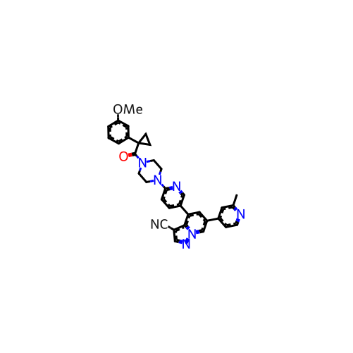 COc1cccc(C2(C(=O)N3CCN(c4ccc(-c5cc(-c6ccnc(C)c6)cn6ncc(C#N)c56)cn4)CC3)CC2)c1